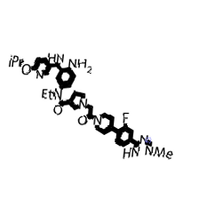 CCN(C(=O)C1CCN(CC(=O)N2CC=C(c3ccc(C(=N)/N=C\NC)cc3F)CC2)C1)c1ccc(N)c(C(=N)c2ccc(OC(C)C)nc2)c1